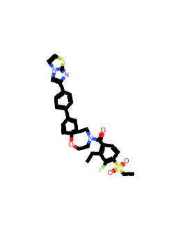 CCc1c(C(=O)N2CCOc3ccc(-c4ccc(-c5cn6ccsc6n5)cc4)cc3C2)ccc(S(=O)(=O)CC)c1F